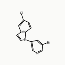 Clc1ccc2c(ccn2-c2cncc(Br)c2)c1